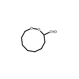 O=[C]C1CCCCCCCOO1